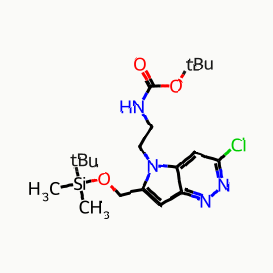 CC(C)(C)OC(=O)NCCn1c(CO[Si](C)(C)C(C)(C)C)cc2nnc(Cl)cc21